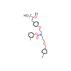 CCOC(Cc1ccc(OCCN(CCCOCc2ccc(F)cc2)C(=O)Oc2cccc(C)c2)cc1)C(=O)O